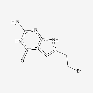 Nc1nc2[nH]c(CCBr)cc2c(=O)[nH]1